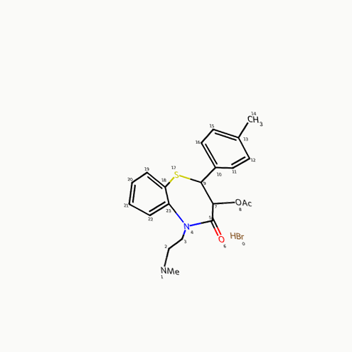 Br.CNCCN1C(=O)C(OC(C)=O)C(c2ccc(C)cc2)Sc2ccccc21